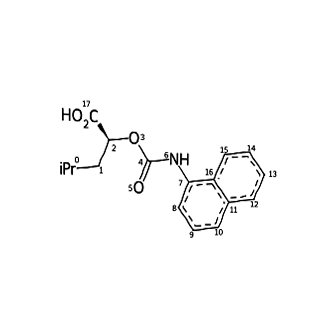 CC(C)C[C@H](OC(=O)Nc1cccc2ccccc12)C(=O)O